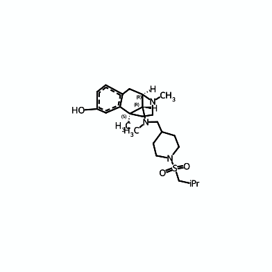 CC(C)CS(=O)(=O)N1CCC(CN(C)[C@H]2[C@H]3Cc4ccc(O)cc4[C@]2(C)CCN3C)CC1